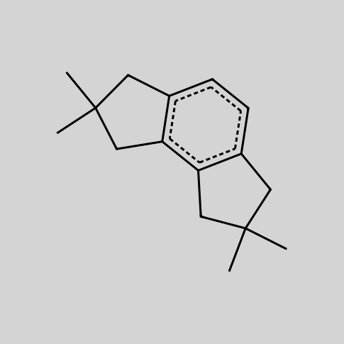 CC1(C)Cc2ccc3c(c2C1)CC(C)(C)C3